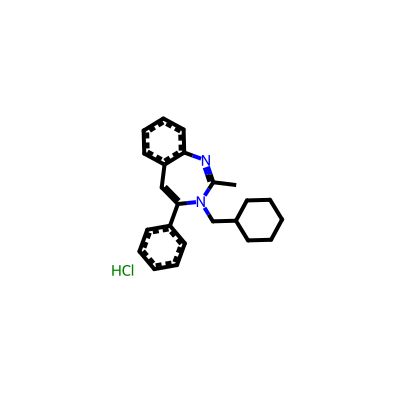 CC1=Nc2ccccc2C=C(c2ccccc2)N1CC1CCCCC1.Cl